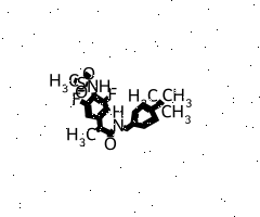 CC(C(=O)NCc1ccc(C(C)(C)C)cc1)c1cc(F)c(NS(C)(=O)=O)c(F)c1